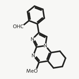 COc1nc2nc(-c3ccccc3C=O)cn2c2c1CCCC2